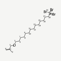 C=C(C)COCCCCCCCCCCCCCC[Si](Br)(Br)Br